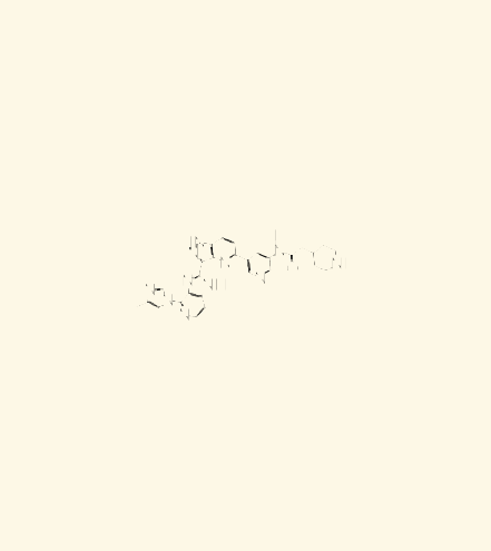 Cc1cn(-c2nccc3[nH]c(-c4n[nH]c5ccc(-c6cncc(NC(=O)CC7CCNCC7)c6)nc45)nc23)cn1